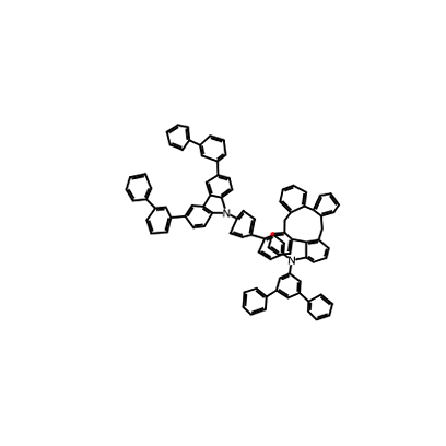 c1ccc(-c2cccc(-c3ccc4c(c3)c3cc(-c5cccc(-c6ccccc6)c5)ccc3n4-c3ccc(-c4ccc(N(c5cc(-c6ccccc6)cc(-c6ccccc6)c5)c5cccc6c5-c5ccccc5Cc5ccccc5-c5ccccc5C6)cc4)cc3)c2)cc1